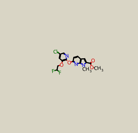 COC(=O)c1cc2ccc(Oc3ncc(Cl)cc3OCC(F)F)nc2n1C